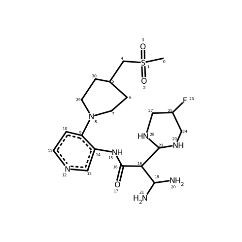 CS(=O)(=O)CC1CCN(c2ccncc2NC(=O)C(C(N)N)C2NCC(F)CN2)CC1